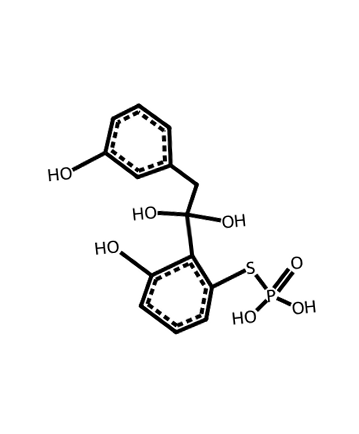 O=P(O)(O)Sc1cccc(O)c1C(O)(O)Cc1cccc(O)c1